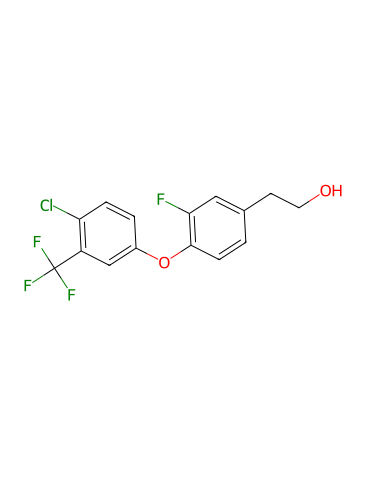 OCCc1ccc(Oc2ccc(Cl)c(C(F)(F)F)c2)c(F)c1